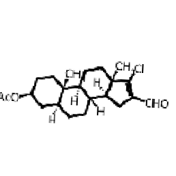 CC(=O)O[C@H]1CC[C@@]2(C)[C@@H](CC[C@@H]3[C@@H]2CC[C@]2(C)C(Cl)=C(C=O)C[C@@H]32)C1